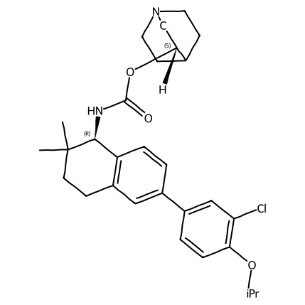 CC(C)Oc1ccc(-c2ccc3c(c2)CCC(C)(C)[C@H]3NC(=O)O[C@@H]2CN3CCC2CC3)cc1Cl